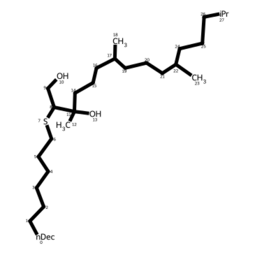 CCCCCCCCCCCCCCCCSC(CO)C(C)(O)CCCC(C)CCCC(C)CCCC(C)C